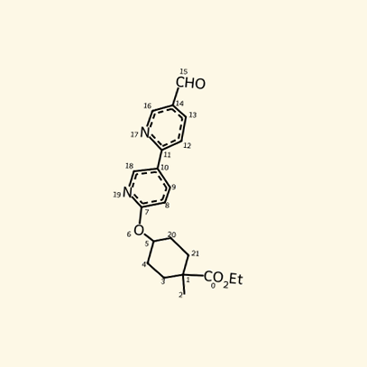 CCOC(=O)C1(C)CCC(Oc2ccc(-c3ccc(C=O)cn3)cn2)CC1